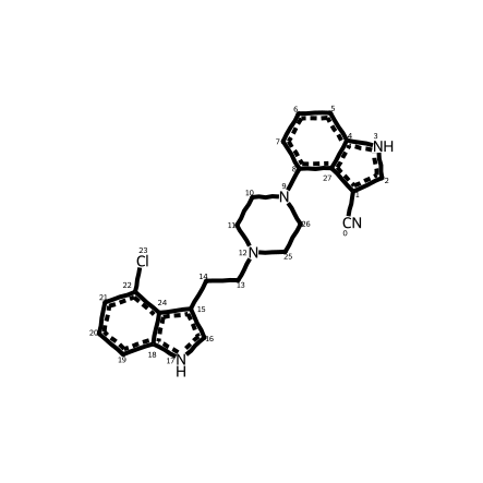 N#Cc1c[nH]c2cccc(N3CCN(CCc4c[nH]c5cccc(Cl)c45)CC3)c12